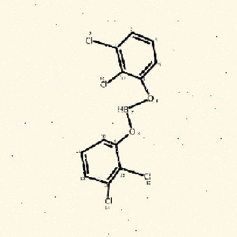 Clc1cccc(OBOc2cccc(Cl)c2Cl)c1Cl